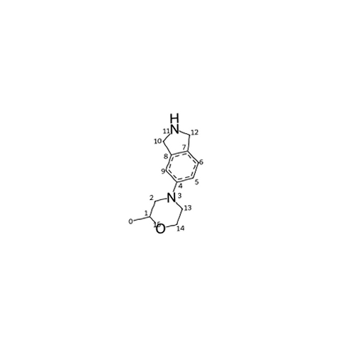 CC1CN(c2ccc3c(c2)CNC3)CCO1